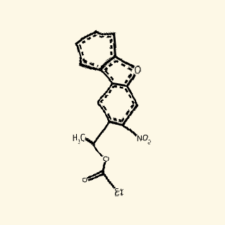 CCC(=O)OC(C)c1cc2c(cc1[N+](=O)[O-])oc1ccccc12